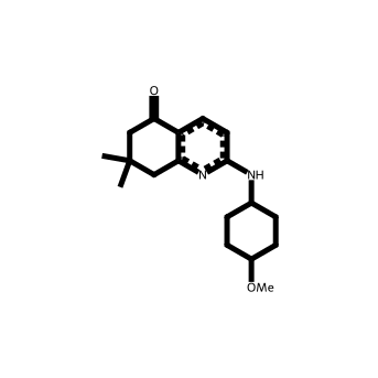 COC1CCC(Nc2ccc3c(n2)CC(C)(C)CC3=O)CC1